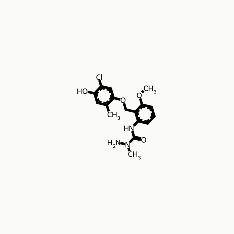 COc1cccc(NC(=O)N(C)N)c1COc1cc(Cl)c(O)cc1C